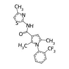 Cc1csc(NC(=O)c2cc(C)n(-c3ccccc3C(F)(F)F)c2C)n1